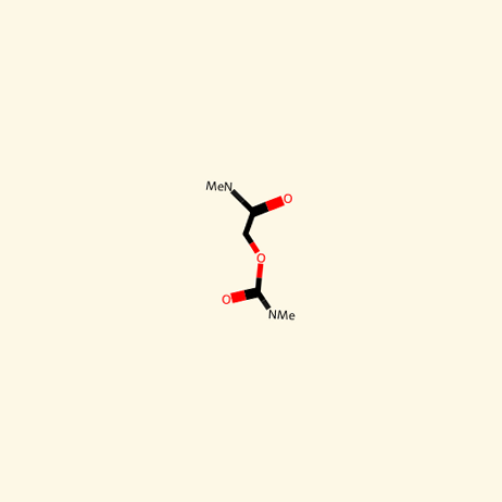 CNC(=O)COC(=O)NC